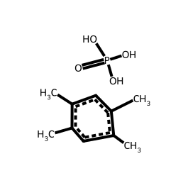 Cc1cc(C)c(C)cc1C.O=P(O)(O)O